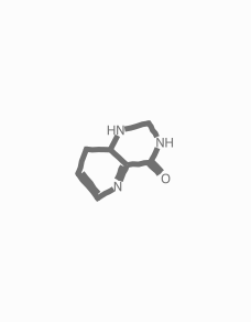 O=C1NCNC2CC=CN=C12